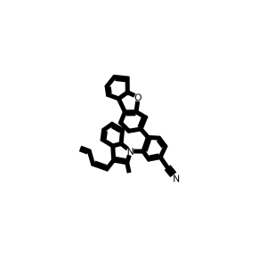 C=C/C=C\C1=C(C)N(c2cc(C#N)ccc2C2=CC3=C(CC2)C2C=CC=CC2O3)C2C=CC=CC12